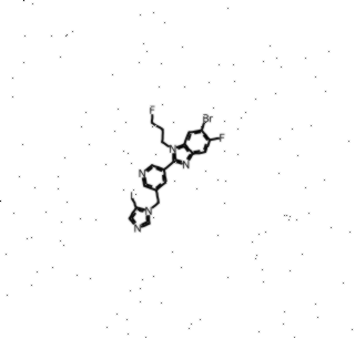 FCCCn1c(-c2cncc(Cn3cncc3I)c2)nc2cc(F)c(Br)cc21